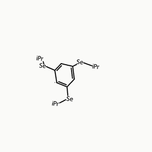 CC(C)[Se]c1[c]c([Se]C(C)C)cc([Se]C(C)C)c1